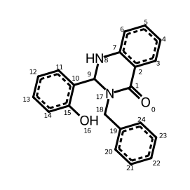 O=C1c2ccccc2NC(c2ccccc2O)N1Cc1ccccc1